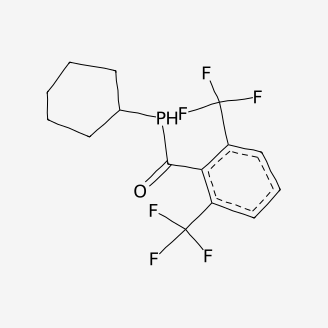 O=C(PC1CCCCC1)c1c(C(F)(F)F)cccc1C(F)(F)F